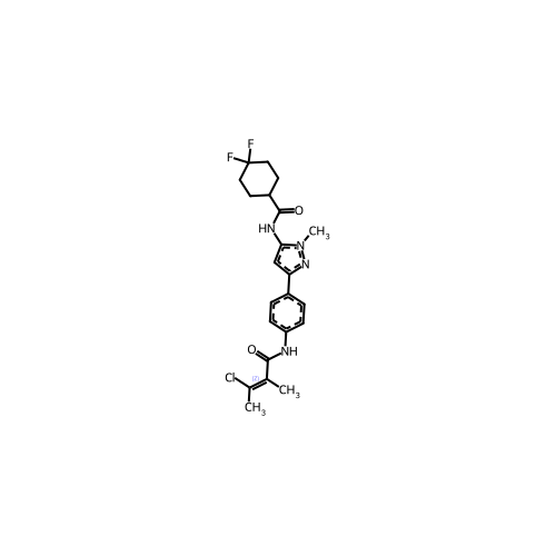 C/C(Cl)=C(\C)C(=O)Nc1ccc(-c2cc(NC(=O)C3CCC(F)(F)CC3)n(C)n2)cc1